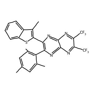 Cc1cc(C)c(-c2nc3nc(C(F)(F)F)c(C(F)(F)F)nc3nc2-c2sc3ccccc3c2C)c(C)c1